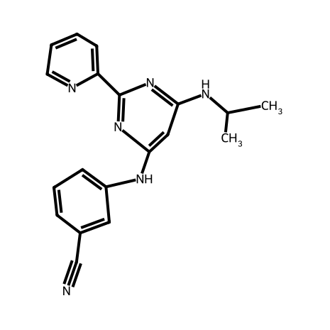 CC(C)Nc1cc(Nc2cccc(C#N)c2)nc(-c2ccccn2)n1